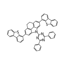 c1ccc(-c2nc(-c3ccccc3)nc(-n3c4cc(-c5cccc6c5sc5ccccc56)cc5c4c4c(cc(-c6cccc7c6sc6ccccc67)cc43)CC5)n2)cc1